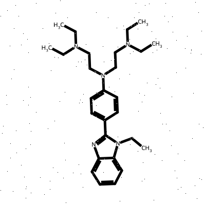 CCN(CC)CCN(CCN(CC)CC)c1ccc(-c2nc3ccccc3n2CC)cc1